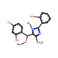 CCOC(=O)c1nc(-c2ccccc2O)n(C(C)C)c1C(OSC)c1ccc(Cl)cc1O